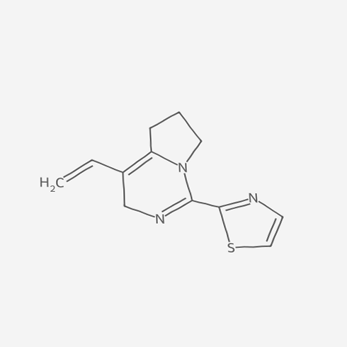 C=CC1=C2CCCN2C(c2nccs2)=NC1